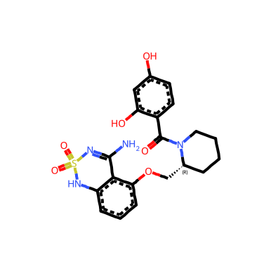 NC1=NS(=O)(=O)Nc2cccc(OC[C@H]3CCCCN3C(=O)c3ccc(O)cc3O)c21